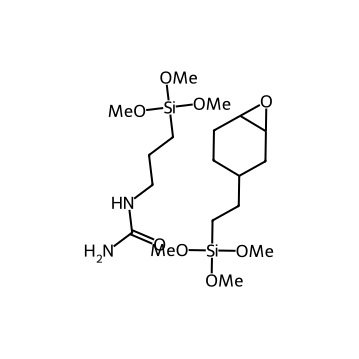 CO[Si](CCC1CCC2OC2C1)(OC)OC.CO[Si](CCCNC(N)=O)(OC)OC